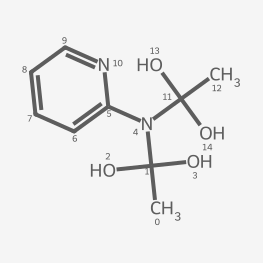 CC(O)(O)N(c1ccccn1)C(C)(O)O